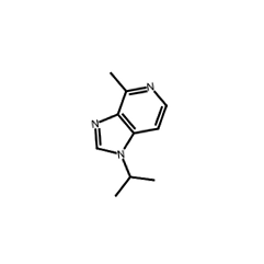 Cc1nccc2c1ncn2C(C)C